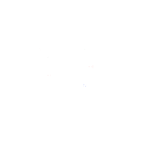 O=C1COc2c1cc(Cl)c(O)c2CN1CCCCC1